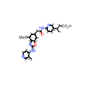 COc1cc(CC(=O)Nc2ccc(C(C)CC(=O)O)cn2)cc2oc(Nc3ccncc3C)nc12